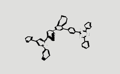 c1ccc(-c2cc(-c3ccccc3)nc(-c3ccc(-c4cc(-c5ccc(-c6nc(-c7ccccc7)nc(-c7ccccc7)n6)cc5)c5ccccc5c4)cc3)c2)cc1